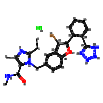 CCc1nc(C)c(C(=O)NC)n1Cc1ccc2oc(-c3ccccc3-c3nnn[nH]3)c(Br)c2c1.Cl